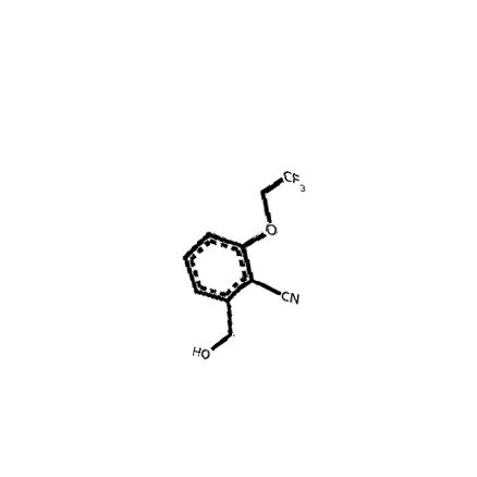 N#Cc1c([CH]O)cccc1OCC(F)(F)F